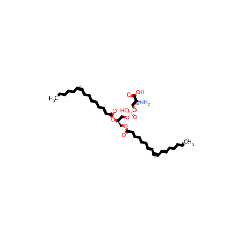 CCCCC/C=C\CCCCCCCC(=O)O[C@H](COC(=O)CCCCCCC/C=C\CCCCCCC)COP(=O)(O)OC[C@H](N)C(=O)O